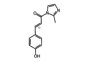 Cc1nccn1C(=O)/C=C/c1ccc(O)cc1